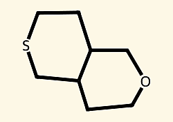 C1CC2CSCCC2CO1